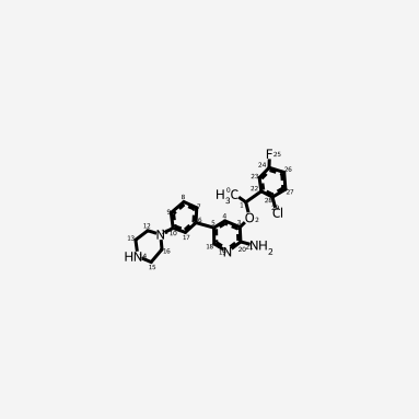 CC(Oc1cc(-c2cccc(N3CCNCC3)c2)cnc1N)c1cc(F)ccc1Cl